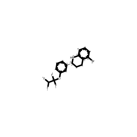 FC(F)C(F)(F)Oc1cccc([C@H]2CCc3c(Br)cccc3N2)c1